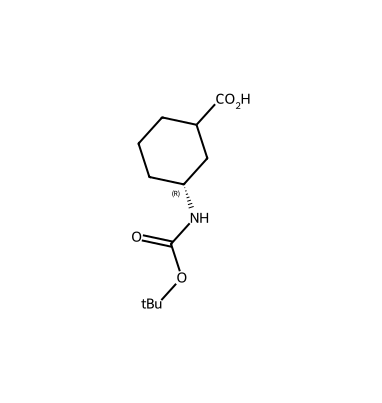 CC(C)(C)OC(=O)N[C@@H]1CCCC(C(=O)O)C1